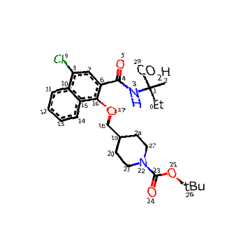 CCC(C)(NC(=O)c1cc(Cl)c2ccccc2c1OCC1CCN(C(=O)OC(C)(C)C)CC1)C(=O)O